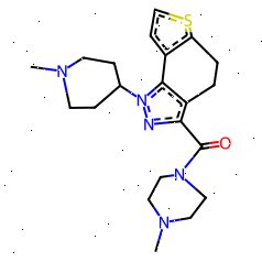 CN1CCC(n2nc(C(=O)N3CCN(C)CC3)c3c2-c2ccsc2CC3)CC1